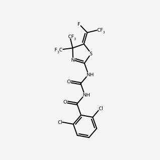 O=C(NC(=O)c1c(Cl)cccc1Cl)NC1=NC(C(F)(F)F)(C(F)(F)F)/C(=C(\F)C(F)(F)F)S1